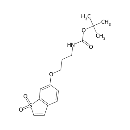 CC(C)(C)OC(=O)NCCCOc1ccc2c(c1)S(=O)(=O)C=C2